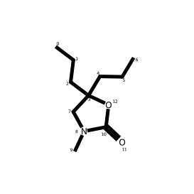 CCCC1(CCC)CN(C)C(=O)O1